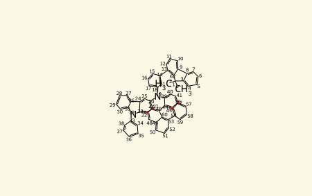 CC1(C)c2ccccc2-c2cccc(-c3cccc(N(c4ccc5c(c4)c4ccccc4n5-c4ccccc4)c4ccccc4-c4cccc5cccc(-c6ccccc6)c45)c3)c21